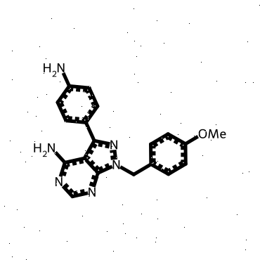 COc1ccc(Cn2nc(-c3ccc(N)cc3)c3c(N)ncnc32)cc1